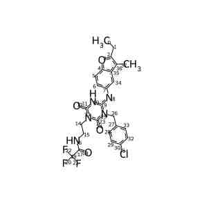 CCc1oc2ccc(/N=c3\[nH]c(=O)n(CCNC(=O)C(F)(F)F)c(=O)n3Cc3ccc(Cl)cc3)cc2c1C